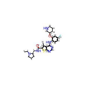 CCN1CCC[C@@H]1CNC(=O)c1sc2ncnc(Nc3ccc(F)cc3OC3CCCNC3)c2c1C